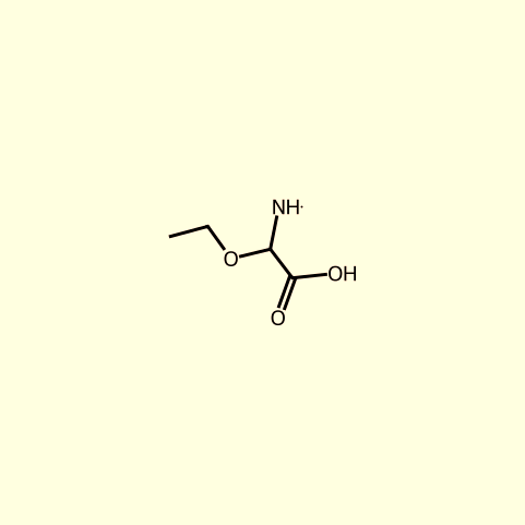 CCOC([NH])C(=O)O